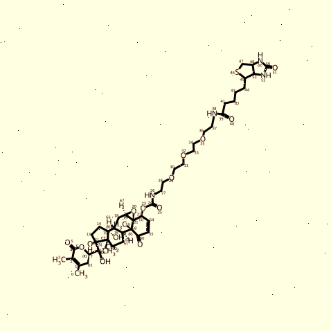 CC1=C(C)C(=O)O[C@@H]([C@](C)(O)[C@]2(O)CC[C@@]3(O)[C@@H]4C[C@H]5O[C@]56[C@@H](OC(=O)NCCOCCOCCOCCNC(=O)CCCCC5SCC7NC(=O)NC75)C=CC(=O)[C@]6(C)[C@H]4CC[C@]23C)C1